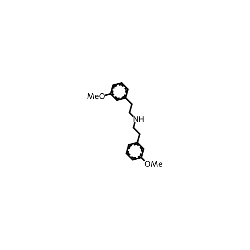 COc1cccc(CCNCCc2cccc(OC)c2)c1